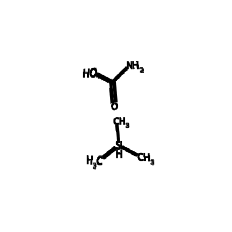 C[SiH](C)C.NC(=O)O